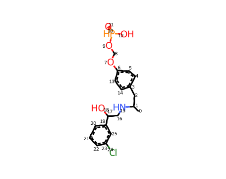 CC(Cc1ccc(OCO[PH](=O)O)cc1)NCC(O)c1cccc(Cl)c1